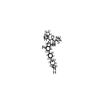 O=C(Nc1nccs1)C(c1ncn2c1CCC2)N1Cc2c(F)cc(-c3ccc(N4CCC5(CC4)CNC5)cc3)cc2C1=O